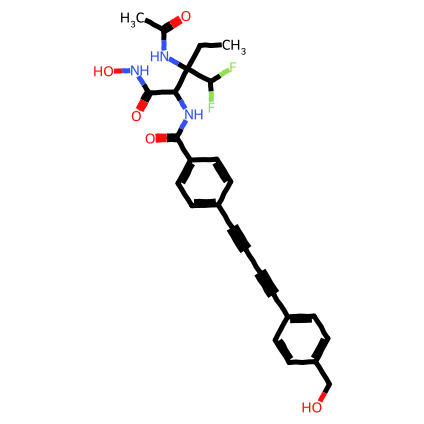 CCC(NC(C)=O)(C(F)F)C(NC(=O)c1ccc(C#CC#Cc2ccc(CO)cc2)cc1)C(=O)NO